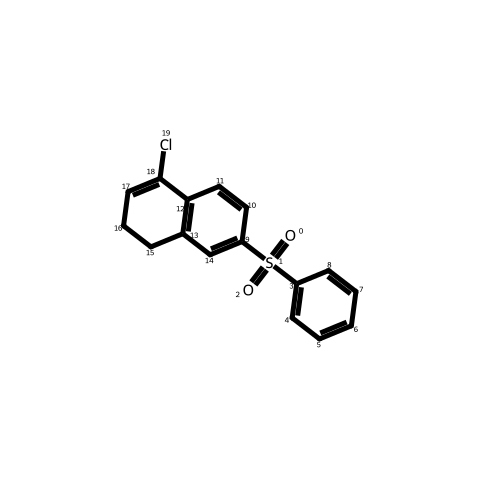 O=S(=O)(c1ccccc1)c1ccc2c(c1)CCC=C2Cl